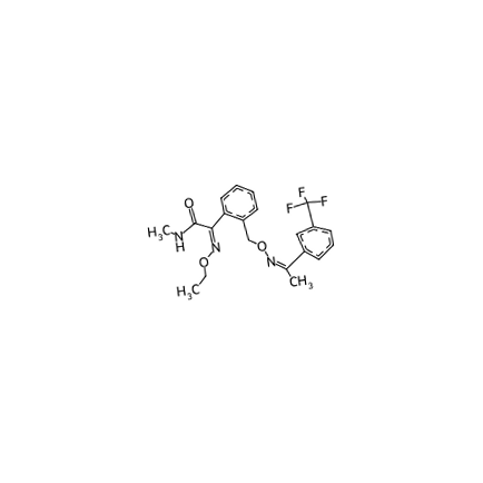 CCON=C(C(=O)NC)c1ccccc1CON=C(C)c1cccc(C(F)(F)F)c1